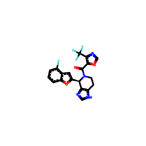 O=C(c1ocnc1C(F)(F)F)N1CCc2[nH]cnc2[C@H]1c1cc2c(F)cccc2o1